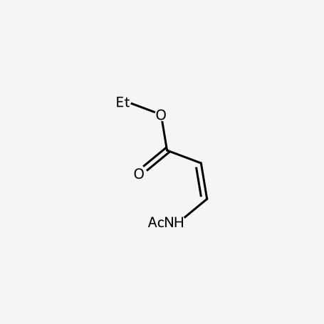 CCOC(=O)/C=C\NC(C)=O